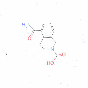 NC(=O)c1cccc2c1CCN(C(=O)O)C2